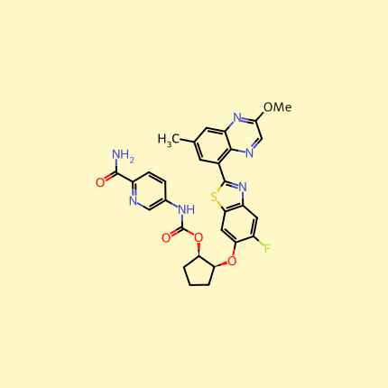 COc1cnc2c(-c3nc4cc(F)c(O[C@H]5CCC[C@H]5OC(=O)Nc5ccc(C(N)=O)nc5)cc4s3)cc(C)cc2n1